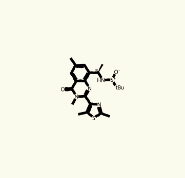 Cc1cc([C@@H](C)N[S+]([O-])C(C)(C)C)c2nc(-c3nc(C)sc3C)n(C)c(=O)c2c1